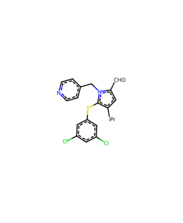 CC(C)c1cc(C=O)n(Cc2ccncc2)c1Sc1cc(Cl)cc(Cl)c1